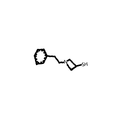 SC1CN(CCc2ccccc2)C1